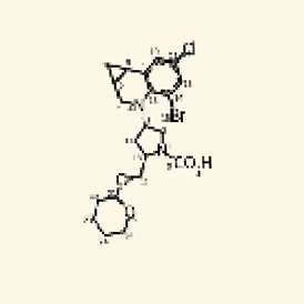 O=C(O)N1C[C@@H](N2CC3CC3c3cc(Cl)cc(Br)c32)C[C@@H]1COC1CCCCO1